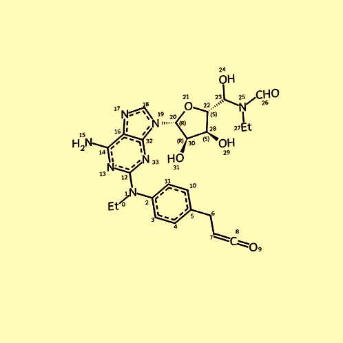 CCN(c1ccc(CC=C=O)cc1)c1nc(N)c2ncn([C@@H]3O[C@H](C(O)N(C=O)CC)[C@@H](O)[C@H]3O)c2n1